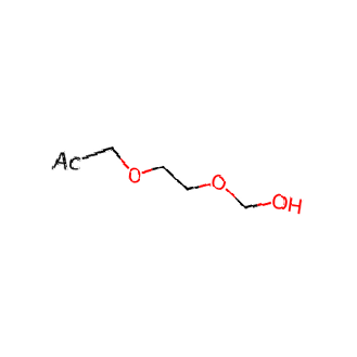 CC(=O)COCCOCO